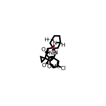 COC(=O)c1ccc(N2[C@@H]3CC[C@H]2C[C@@H](NC(=O)C2(c4ccc(Cl)cc4)CC2)C3)nc1